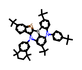 CC(C)(C)c1ccc(N2c3ccc(C(C)(C)C)cc3B3c4sc5cc(C(C)(C)C)ccc5c4N(c4ccc5c(c4)C(C)(C)CCC5(C)C)c4cc(C(C)(C)C)cc2c43)cc1